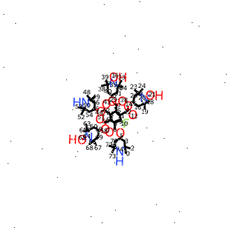 CC1(C)CC(OC(=O)c2c(F)c(C(=O)OC3CC(C)(C)N(O)C(C)(C)C3)c(C(=O)OC3CC(C)(C)N(O)C(C)(C)C3)c(C(=O)OC3CC(C)(C)NC(C)(C)C3)c2C(=O)OC2CC(C)(C)N(O)C(C)(C)C2)CC(C)(C)N1